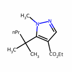 CCCC(C)(C)c1c(C(=O)OCC)cnn1C